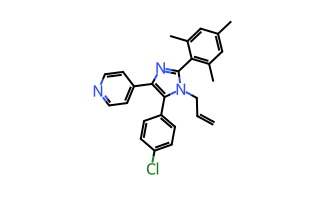 C=CCn1c(-c2c(C)cc(C)cc2C)nc(-c2ccncc2)c1-c1ccc(Cl)cc1